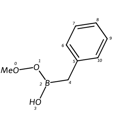 COOB(O)Cc1ccccc1